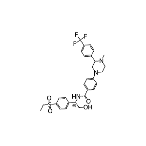 CCS(=O)(=O)c1ccc([C@H](CO)NC(=O)c2ccc(N3CCN(C)C(c4ccc(C(F)(F)F)cc4)C3)cc2)cc1